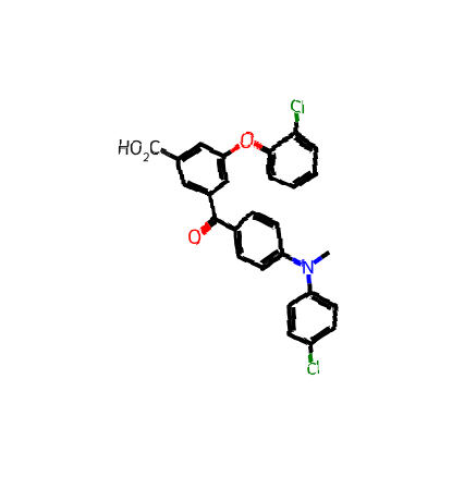 CN(c1ccc(Cl)cc1)c1ccc(C(=O)c2cc(Oc3ccccc3Cl)cc(C(=O)O)c2)cc1